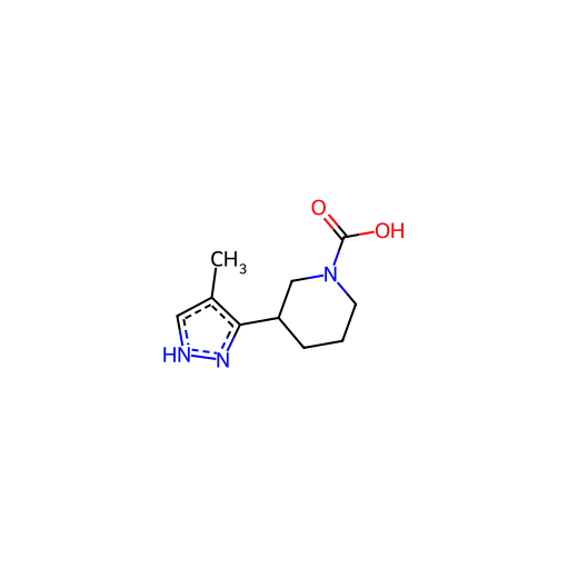 Cc1c[nH]nc1C1CCCN(C(=O)O)C1